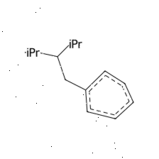 C[C](C)C(Cc1ccccc1)C(C)C